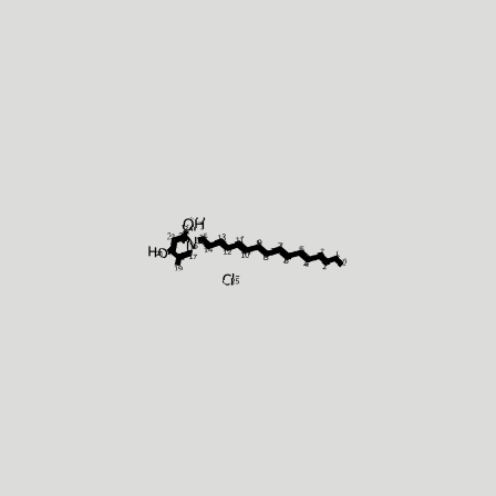 CCCCCCCCCCCCCCCC[n+]1cc(C)c(O)cc1O.[Cl-]